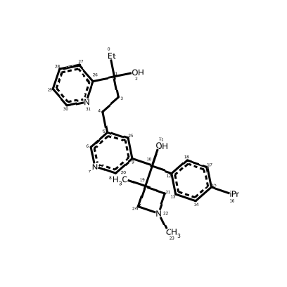 CCC(O)(CCc1cncc(C(O)(c2ccc(C(C)C)cc2)C2(C)CN(C)C2)c1)c1ccccn1